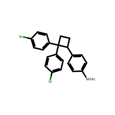 CC(=O)Nc1ccc(C2CCC2(c2ccc(Br)cc2)c2ccc(Br)cc2)cc1